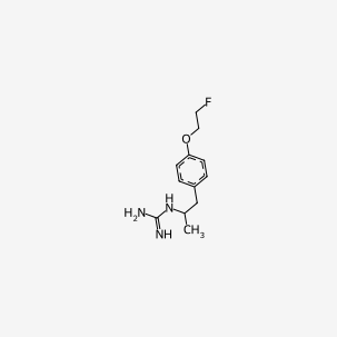 CC(Cc1ccc(OCCF)cc1)NC(=N)N